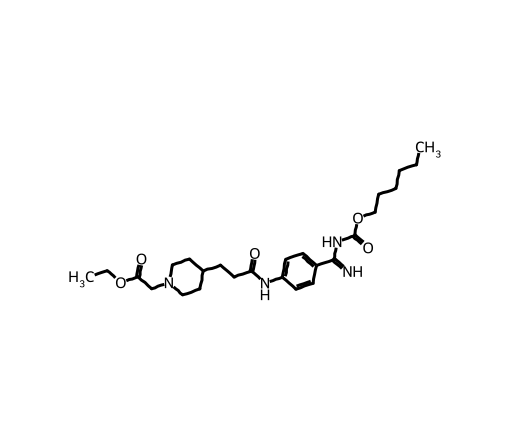 CCCCCCOC(=O)NC(=N)c1ccc(NC(=O)CCC2CCN(CC(=O)OCC)CC2)cc1